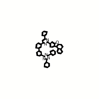 c1ccc(-c2cc(-c3cccc(-c4cccc(-c5nc(-c6ccccc6)nc(-c6ccccc6)n5)c4)c3)nc(-c3ccc4c(c3)oc3ccc5ccccc5c34)n2)cc1